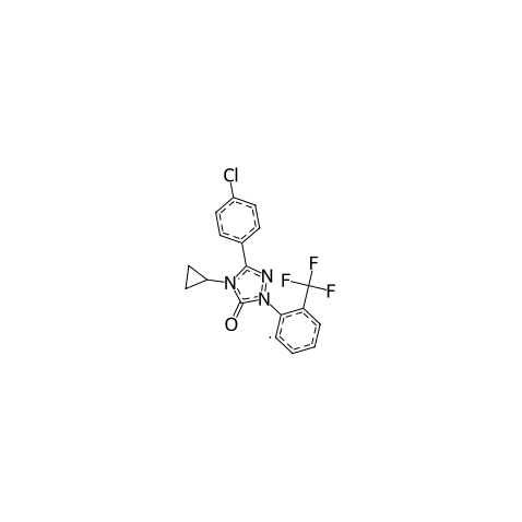 O=c1n(-c2[c]cccc2C(F)(F)F)nc(-c2ccc(Cl)cc2)n1C1CC1